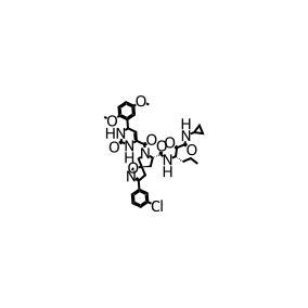 CCC[C@H](NC(=O)[C@@H]1C[C@]2(CC(c3cccc(Cl)c3)=NO2)CN1C(=O)C1=CC(c2cc(OC)ccc2OC)NC(=O)N1)C(=O)C(=O)NC1CC1